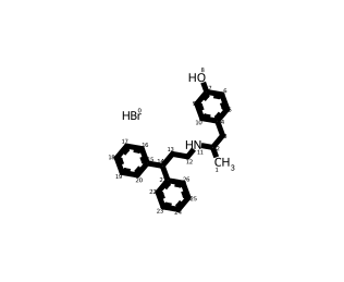 Br.CC(Cc1ccc(O)cc1)NCCC(c1ccccc1)c1ccccc1